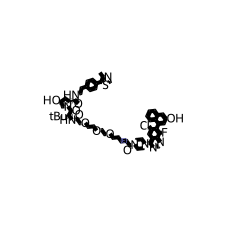 Cc1ncsc1-c1ccc(CCNC(=O)[C@@H]2C[C@H](O)CN2C(=O)[C@@H](NC(=O)COCCOCCOCC/C=C/C(=O)N2CCN(c3ncnc4c(F)c(-c5cc(O)cc6ccccc56)c(Cl)cc34)CC2)C(C)(C)C)cc1